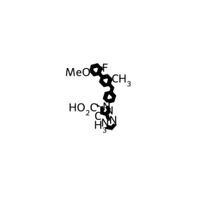 COc1ccc(F)c(-c2ccc(Cc3ccc(N4N=C(c5ncccn5)[C@@H](C)[C@@H]4CC(=O)O)cc3)c(C)c2)c1